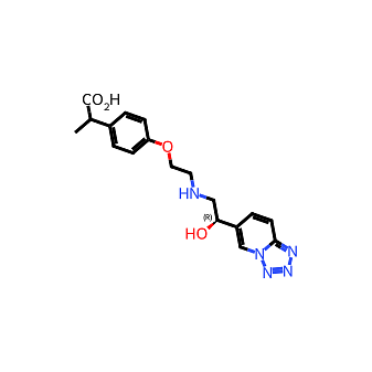 CC(C(=O)O)c1ccc(OCCNC[C@H](O)c2ccc3nnnn3c2)cc1